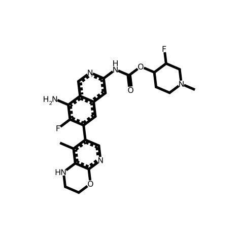 Cc1c(-c2cc3cc(NC(=O)OC4CCN(C)CC4F)ncc3c(N)c2F)cnc2c1NCCO2